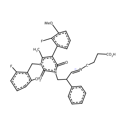 COc1cccc(-c2c(C)n(Cc3c(F)cccc3C(F)(F)F)c(=O)n(CC(/C=N/CCCC(=O)O)c3ccccc3)c2=O)c1F